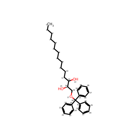 CCCCCCCCCCCCC(O)[C@H](O)COC(c1ccccc1)(c1ccccc1)c1ccccc1